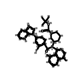 Cc1cnc(N(C(=O)c2ccc(-n3nnc4cccnc43)cc2F)[C@@H]2CCCN(C(=O)OC(C)(C)C)C2)c2c(C)cccc12